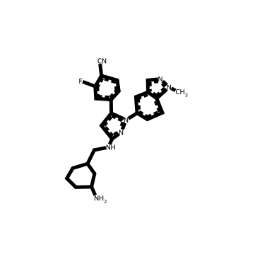 Cn1ncc2cc(-n3nc(NCC4CCCC(N)C4)cc3-c3ccc(C#N)c(F)c3)ccc21